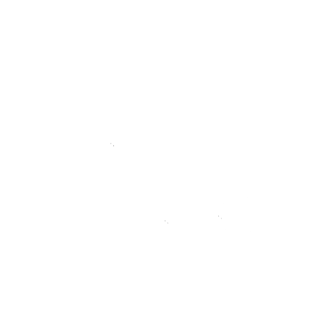 c1ccc(-c2ccc(N(c3ccc(-c4ccccc4)cc3)c3ccc(-c4ccc(N(c5ccccc5)c5ccc(-n6c7ccccc7c7ccccc7c7ccccc7c7ccccc76)cc5)cc4)cc3)cc2)cc1